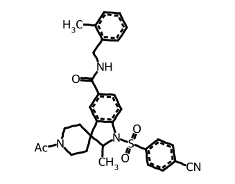 CC(=O)N1CCC2(CC1)c1cc(C(=O)NCc3ccccc3C)ccc1N(S(=O)(=O)c1ccc(C#N)cc1)C2C